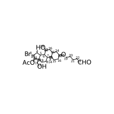 CC(=O)O[C@H]1[C@H](Br)CC2C3C(CC[C@@]21CO)[C@@]1(C)CC[C@H](OCCCCC=O)CC1C[C@@H]3O